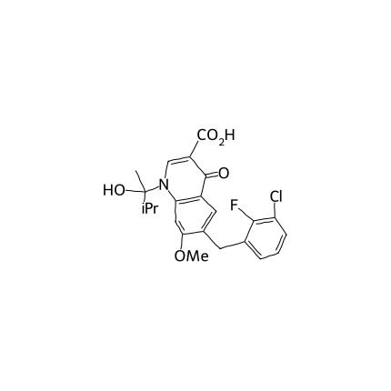 COc1cc2c(cc1Cc1cccc(Cl)c1F)c(=O)c(C(=O)O)cn2C(C)(O)C(C)C